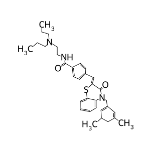 CCCN(CCC)CCNC(=O)c1ccc(/C=C2\Sc3ccccc3N(CC3=CC(C)CC(C)=C3)C2=O)cc1